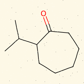 CC(C)C1CCCCCC1=O